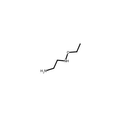 CCONCCN